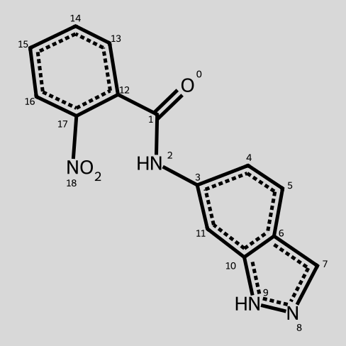 O=C(Nc1ccc2cn[nH]c2c1)c1ccccc1[N+](=O)[O-]